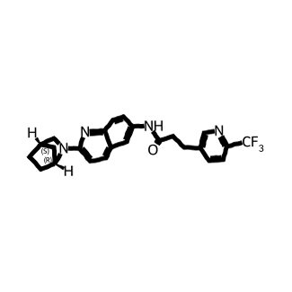 O=C(CCc1ccc(C(F)(F)F)nc1)Nc1ccc2nc(N3C[C@H]4CC[C@@H]3C4)ccc2c1